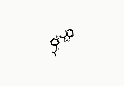 CC(F)Oc1cccc(Nc2noc3cccnc23)c1